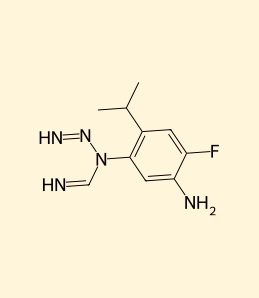 CC(C)c1cc(F)c(N)cc1N(C=N)N=N